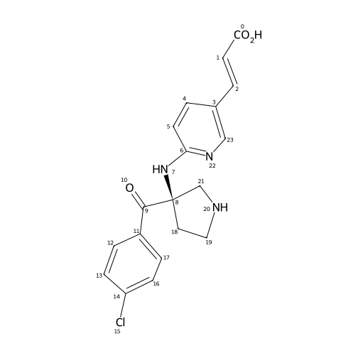 O=C(O)/C=C/c1ccc(N[C@]2(C(=O)c3ccc(Cl)cc3)CCNC2)nc1